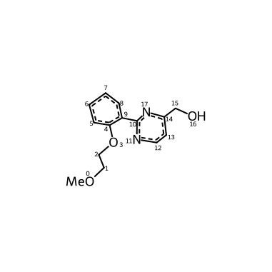 COCCOc1ccccc1-c1nccc(CO)n1